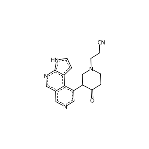 N#CCCN1CCC(=O)C(c2cncc3cnc4[nH]ccc4c23)C1